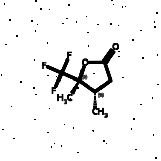 C[C@H]1CC(=O)O[C@@]1(C)C(F)(F)F